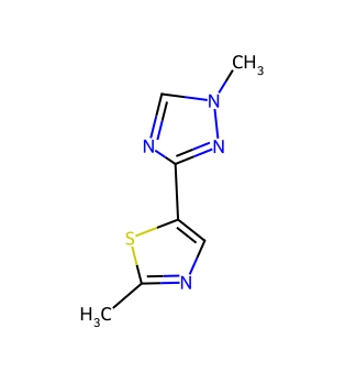 Cc1ncc(-c2ncn(C)n2)s1